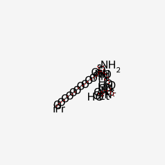 CC[C@@]1(O)C(=O)OCc2c1cc1n(c2=O)Cc2c-1nc1cc(C)c(C)c3c1c2[C@@H](NC(=O)OCc1ccc(NC(=O)[C@H](CCCCN)NC(=O)[C@H](Cc2ccccc2)NC(=O)CCOCCOCCOCCOCCOCCOCCOCCOCCOCCOCCC(C)C)cc1)CC3